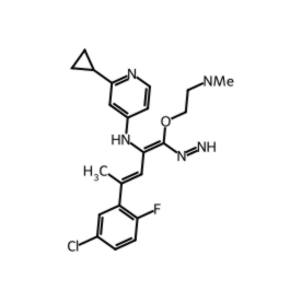 CNCCO/C(N=N)=C(/C=C(\C)c1cc(Cl)ccc1F)Nc1ccnc(C2CC2)c1